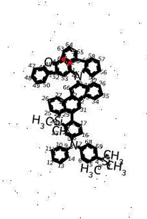 C[Si](C)(C)c1ccc(N(c2ccccc2)c2ccc3c(c2)[Si](C)(C)c2cccc4c2c-3cc2c3ccccc3c(N(c3ccc5oc6ccccc6c5c3)c3ccccc3-c3ccccc3)cc42)cc1